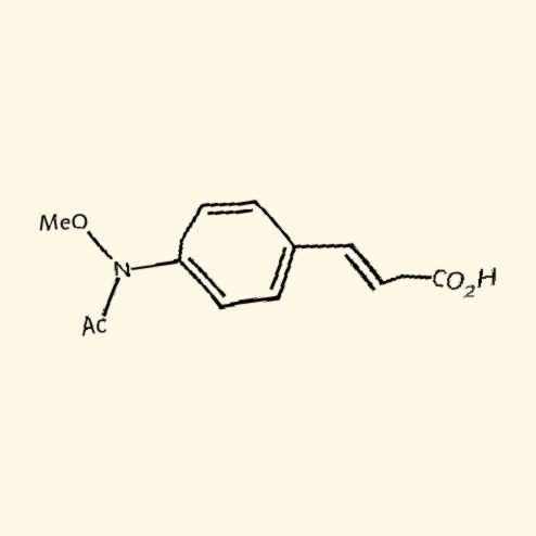 CON(C(C)=O)c1ccc(C=CC(=O)O)cc1